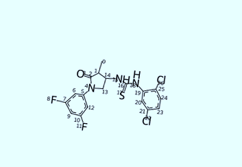 CC1C(=O)N(c2cc(F)cc(F)c2)CC1NC(=S)Nc1cc(Cl)ccc1Cl